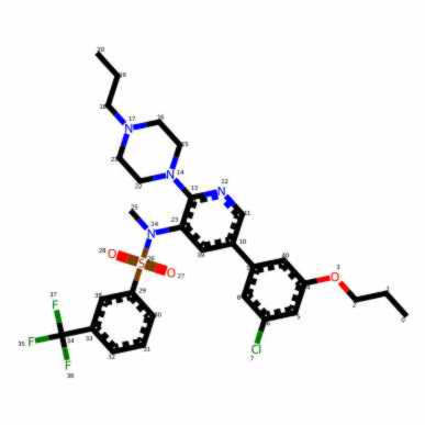 CCCOc1cc(Cl)cc(-c2cnc(N3CCN(CCC)CC3)c(N(C)S(=O)(=O)c3cccc(C(F)(F)F)c3)c2)c1